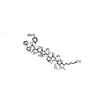 C#CCCCCCC(=O)N(C)[C@@H](C)C(=O)N(C)[C@H](C(=O)N1CCC[C@H]1C(=O)N(C)[C@H](C(=O)N(C)[C@H](C(=O)N(C)[C@@H](Cc1ccc(OC)cc1)C(=O)N1CCC[C@H]1c1nccs1)C(C)C)C(C)C)C(C)C